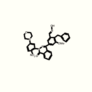 COc1cc(-c2nn(-c3cc(N4CCOCC4)ccc3[N+](=O)[O-])c(=O)c3ccccc23)cc(C=NO)c1Cc1ccccc1